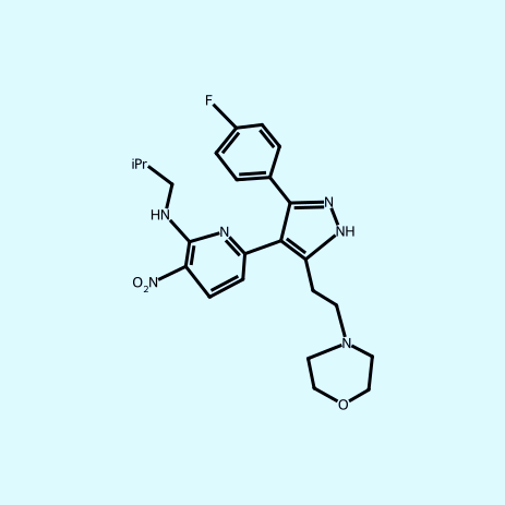 CC(C)CNc1nc(-c2c(-c3ccc(F)cc3)n[nH]c2CCN2CCOCC2)ccc1[N+](=O)[O-]